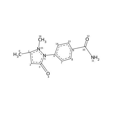 Cc1cc(=O)n(-c2c[c]c(C(N)=O)cc2)n1C